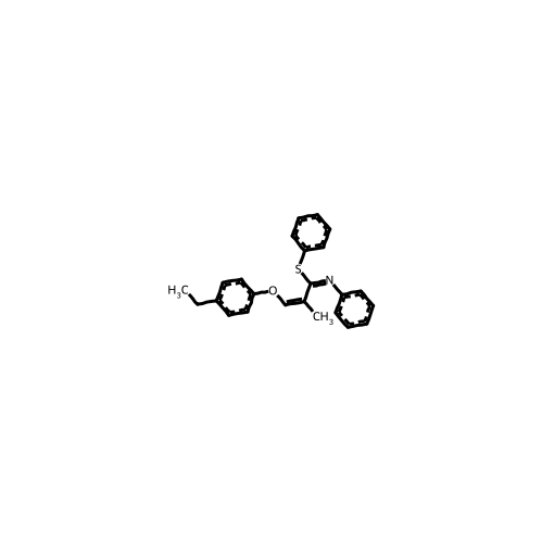 CCc1ccc(OC=C(C)C(=Nc2ccccc2)Sc2ccccc2)cc1